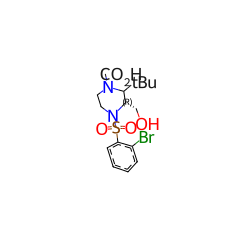 CC(C)(C)C1[C@H](CO)N(S(=O)(=O)c2ccccc2Br)CCN1C(=O)O